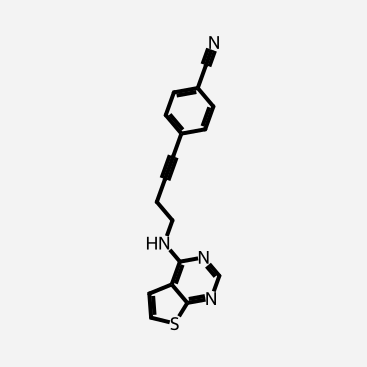 N#Cc1ccc(C#CCCNc2ncnc3sccc23)cc1